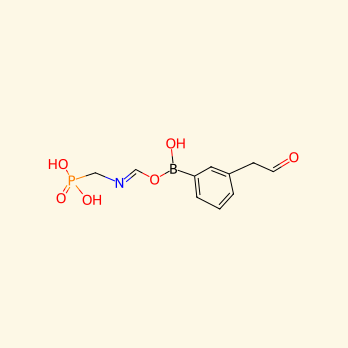 O=CCc1cccc(B(O)OC=NCP(=O)(O)O)c1